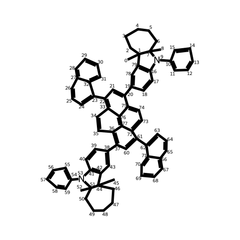 CC12CCCCCC1(C)N(c1ccccc1)c1ccc(-c3cc(-c4cccc5ccccc45)c4ccc5c(-c6ccc7c(c6)C6(C)CCCCCC6(C)N7c6ccccc6)cc(-c6cccc7ccccc67)c6ccc3c4c56)cc12